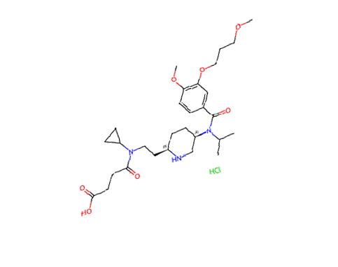 COCCCOc1cc(C(=O)N(C(C)C)[C@@H]2CC[C@H](CCN(C(=O)CCC(=O)O)C3CC3)NC2)ccc1OC.Cl